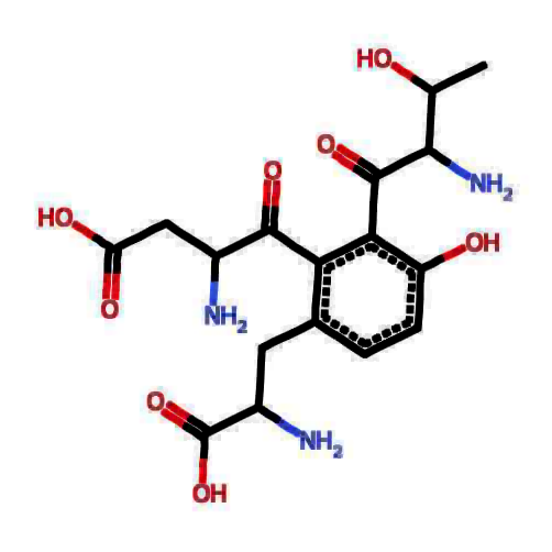 CC(O)C(N)C(=O)c1c(O)ccc(CC(N)C(=O)O)c1C(=O)C(N)CC(=O)O